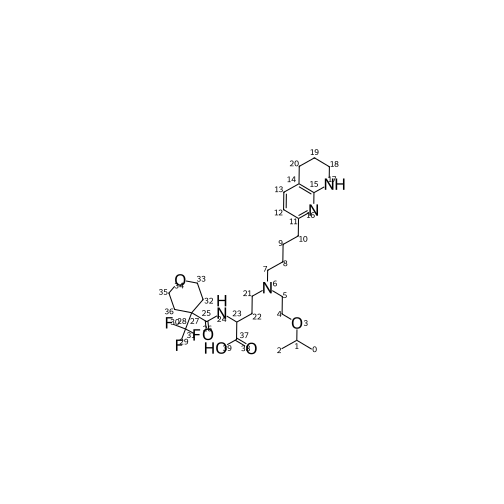 CC(C)OCCN(CCCCc1ccc2c(n1)NCCC2)CCC(NC(=O)C1(C(F)(F)F)CCOCC1)C(=O)O